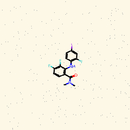 CN(C)C(=O)c1ccc(F)c(F)c1Nc1ccc(I)cc1F